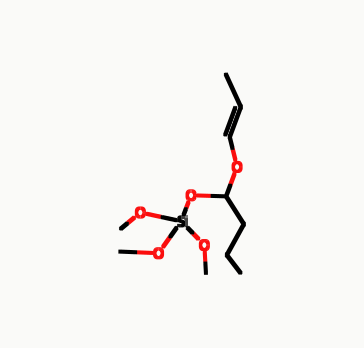 CC=COC(CCC)O[Si](OC)(OC)OC